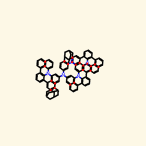 c1ccc(-c2cccc(-c3ccccc3)c2N(c2ccccc2)c2cc(C3C4CC5CC(C4)CC3C5)cc(N(c3ccccc3)c3cccc(N(c4cc(N(c5ccccc5)c5c(-c6ccccc6)cccc5-c5ccccc5)cc(N5C6CC7CC(C6)CC5C7)c4)c4c(-c5ccccc5)cccc4-c4ccccc4)c3)c2)cc1